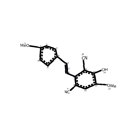 COc1ccc(/C=C/c2c(C#N)cc(OC)c(O)c2C#N)cc1